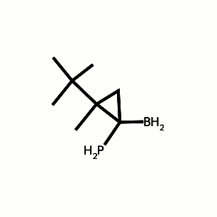 BC1(P)CC1(C)C(C)(C)C